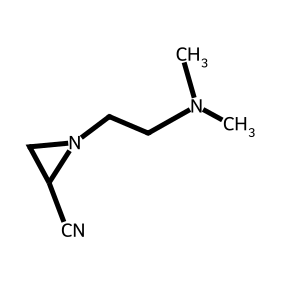 CN(C)CCN1CC1C#N